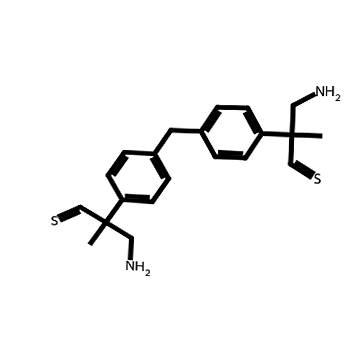 CC(C=S)(CN)c1ccc(Cc2ccc(C(C)(C=S)CN)cc2)cc1